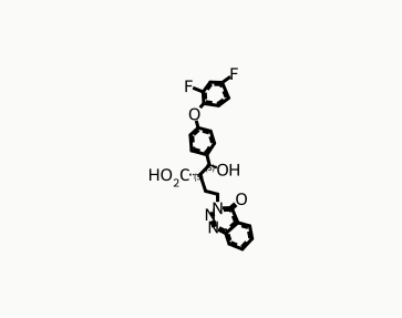 O=C(O)[C@@H](CCn1nnc2ccccc2c1=O)[C@H](O)c1ccc(Oc2ccc(F)cc2F)cc1